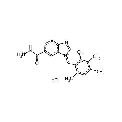 Cc1cc(C)c(C=[N+]2C=Nc3ccc(C(=O)NN)cc32)c(O)c1C.Cl